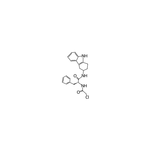 O=C(CCl)N[C@@H](Cc1ccccc1)C(=O)NC1CCc2[nH]c3ccccc3c2C1